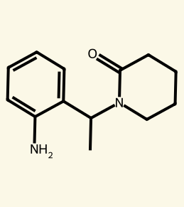 CC(c1ccccc1N)N1CCCCC1=O